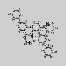 c1ccc(-c2ccc(-c3ncnc(-c4cc(-c5ccccc5)cc(-c5cccnc5-c5ccccc5)c4)n3)cc2)cc1